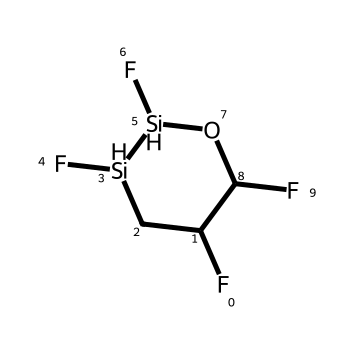 FC1C[SiH](F)[SiH](F)OC1F